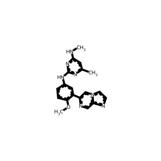 CNc1cc(C)nc(Nc2ccc(OC)c(-c3cn4ccnc4cn3)c2)n1